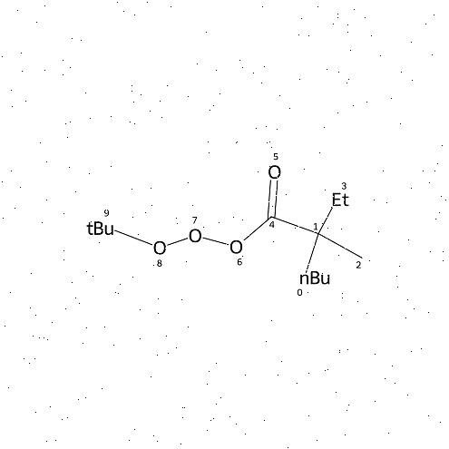 CCCCC(C)(CC)C(=O)OOOC(C)(C)C